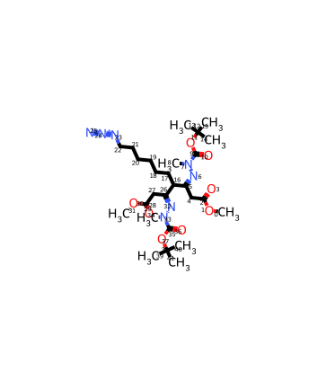 COC(=O)CC(=NN(C)C(=O)OC(C)(C)C)C(CCCCCCN=[N+]=[N-])C(CC(=O)OC)=NN(C)C(=O)OC(C)(C)C